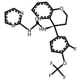 O=C(Nc1ncccn1)N[C@]1(c2ccc(OC(F)(F)F)c(F)c2)CCOc2cccnc21